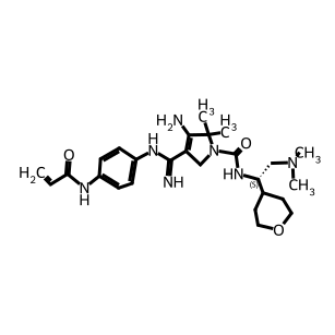 C=CC(=O)Nc1ccc(NC(=N)C2=C(N)C(C)(C)N(C(=O)N[C@H](CN(C)C)C3CCOCC3)C2)cc1